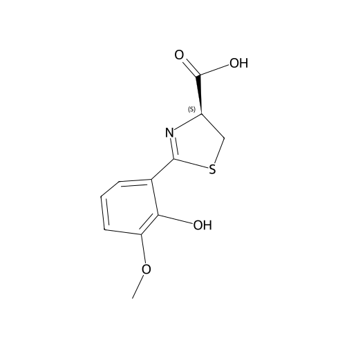 COc1cccc(C2=N[C@@H](C(=O)O)CS2)c1O